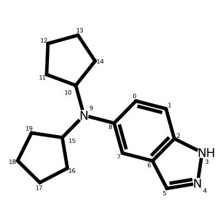 c1cc2[nH]ncc2cc1N(C1CCCC1)C1CCCC1